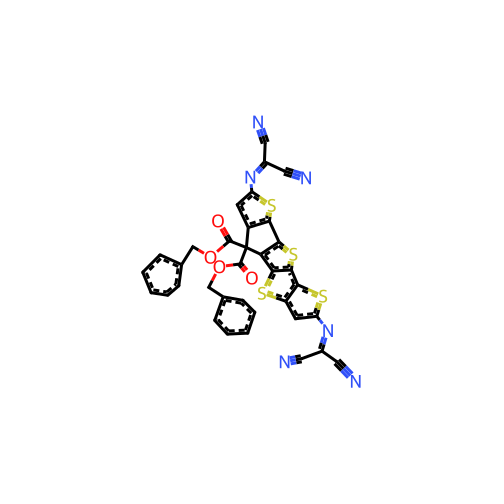 N#CC(C#N)=Nc1cc2c(s1)-c1sc3c(sc4cc(N=C(C#N)C#N)sc43)c1C2(C(=O)OCc1ccccc1)C(=O)OCc1ccccc1